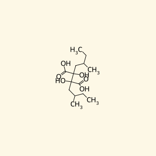 CCC(C)CC(O)(C(=O)O)C(O)(CC(C)CC)C(=O)O